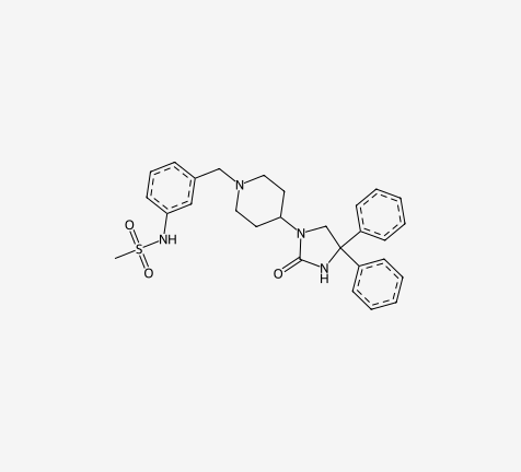 CS(=O)(=O)Nc1cccc(CN2CCC(N3CC(c4ccccc4)(c4ccccc4)NC3=O)CC2)c1